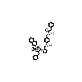 O=C(Cc1ccccc1)NCc1ccc(NCC2CCCN2C(=O)C(Cc2ccccc2)NS(=O)(=O)c2ccc3ccccc3c2)cc1